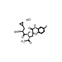 CNC(CC1CC1)C(=O)N1C[C@@]2(C[C@H]1C(N)=O)Oc1ccc(F)cc1NC2=O.Cl